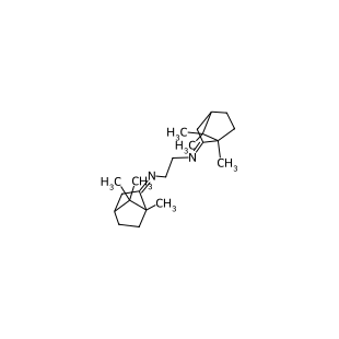 CC12CCC(C/C1=N/CC/N=C1\CC3CCC1(C)C3(C)C)C2(C)C